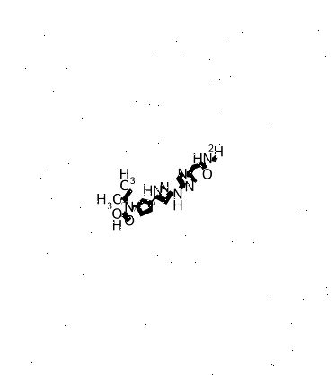 [2H]CNC(=O)Cc1cnc(Nc2cc([C@H]3CC[C@@H](N(C(=O)O)[C@@H](C)CC)C3)[nH]n2)cn1